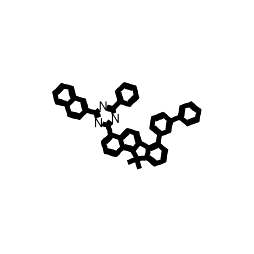 CC1(C)c2cccc(-c3cccc(-c4ccccc4)c3)c2-c2ccc3c(-c4nc(-c5ccccc5)nc(-c5ccc6ccccc6c5)n4)cccc3c21